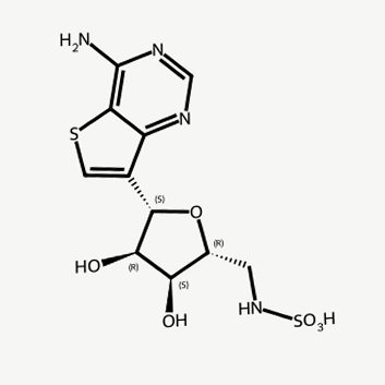 Nc1ncnc2c([C@@H]3O[C@H](CNS(=O)(=O)O)[C@@H](O)[C@H]3O)csc12